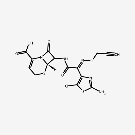 C#CCON=C(C(=O)NC1C(=O)N2C(C(=O)O)=CCS[C@@H]12)c1nc(N)sc1Cl